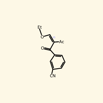 CCO/C=C(/C(C)=O)C(=O)c1cccc(C#N)c1